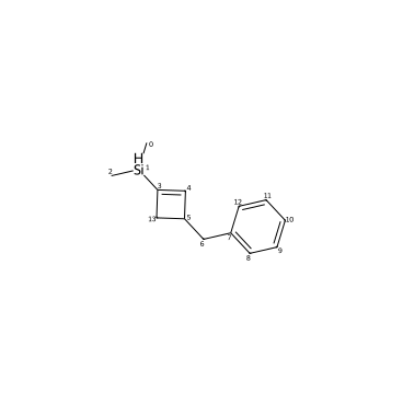 C[SiH](C)C1=CC(Cc2ccccc2)C1